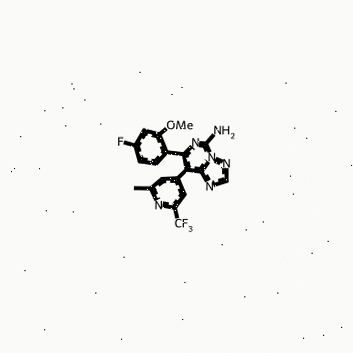 COc1cc(F)ccc1-c1nc(N)n2ncnc2c1-c1cc(C)nc(C(F)(F)F)c1